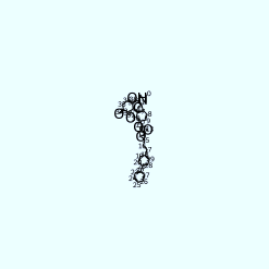 CN1C2C13CC14c5c3ccc(OS(=O)OCCCc3ccc(-c6ccccc6)cc3)c5OC1C(=O)CCC24O